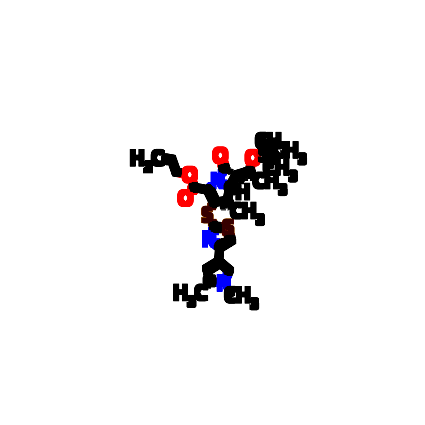 C=CCOC(=O)C1=C(Sc2nc(C3=C[C@H](C)N(C)C3)cs2)[C@H](C)[C@@H]2[C@@H]([C@@H](C)O[Si](C)(C)C)C(=O)N12